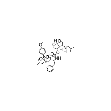 COc1ccc(S(=O)(=O)N(CC(C)C)C[C@@H](O)[C@H](Cc2ccccc2)NC(=O)O[C@H]2CO[C@H]3OC[C@H](NCC(C)C)[C@H]32)cc1